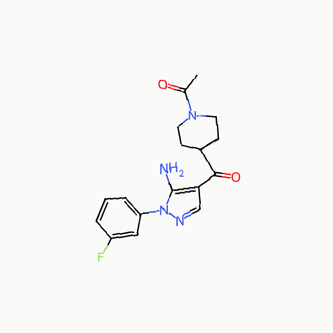 CC(=O)N1CCC(C(=O)c2cnn(-c3cccc(F)c3)c2N)CC1